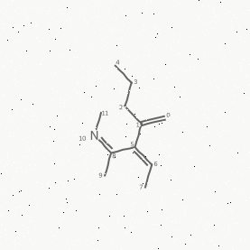 C=C(CCC)C(=C/C)/C(C)=N\C